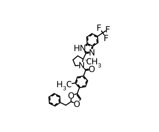 Cc1cc(C(=O)N2CCC[C@@]2(C)c2nc3cc(C(F)(F)F)ccc3[nH]2)ccc1C1=COC(Cc2ccccc2)O1